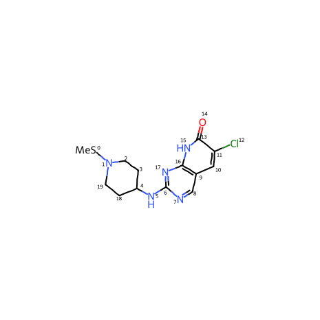 CSN1CCC(Nc2ncc3cc(Cl)c(=O)[nH]c3n2)CC1